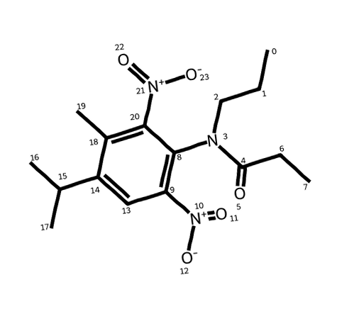 CCCN(C(=O)CC)c1c([N+](=O)[O-])cc(C(C)C)c(C)c1[N+](=O)[O-]